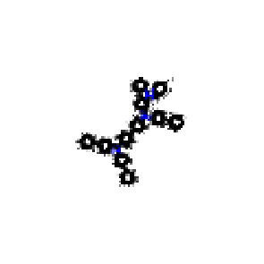 C[C@@H]1C=CC(C)(n2c3ccccc3c3ccc(N(c4ccc(C5=CCCC=C5)cc4)c4ccc(-c5ccc(N(c6ccc(-c7ccccc7)cc6)c6ccc(-c7ccccc7)cc6)cc5)cc4)cc32)CC1